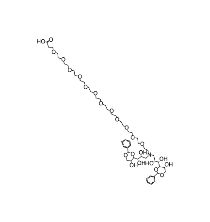 O=C(O)CCOCCOCCOCCOCCOCCOCCOCCOCCOCCOCCOCCOCCN(C[C@@H](O)[C@H](O)C1OC(c2ccccc2)OCC1O)C[C@@H](O)[C@H](O)C1OC(c2ccccc2)OC[C@@H]1O